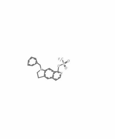 O=S(=O)(Oc1nccc2cc3c(cc12)N(Cc1ccccc1)CC3)C(F)(F)F